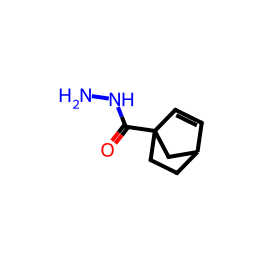 NNC(=O)C12C=CC(CC1)C2